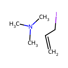 C=CCI.CN(C)C